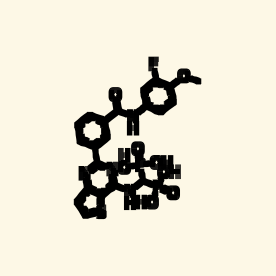 COc1ccc(NC(=O)c2cccc(-c3nc(NC(P(=O)(O)O)P(=O)(O)O)c4sccc4n3)c2)cc1F